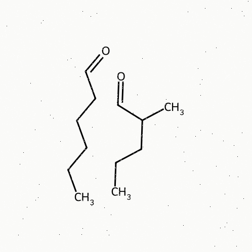 CCCC(C)C=O.CCCCCC=O